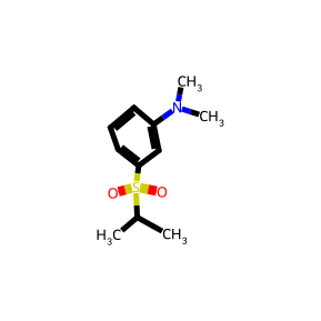 CC(C)S(=O)(=O)c1cccc(N(C)C)c1